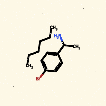 CC(N)c1ccc(Br)cc1.CCCCCC